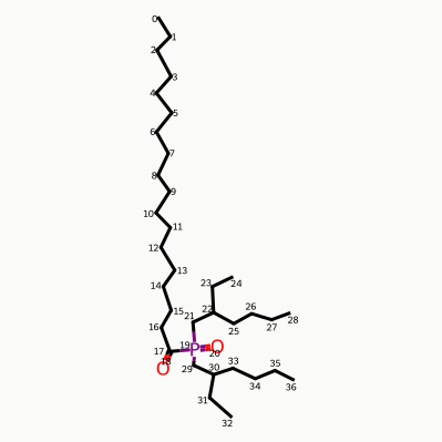 CCCCCCCCCCCCCCCCCC(=O)P(=O)(CC(CC)CCCC)CC(CC)CCCC